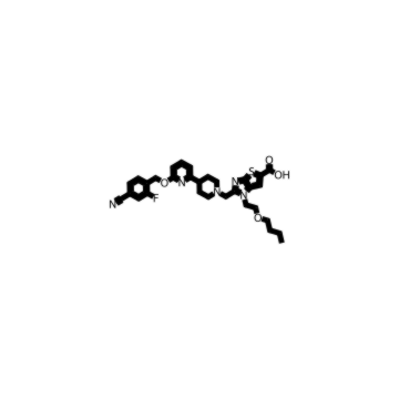 CCCCOCCn1c(CN2CCC(c3cccc(OCc4ccc(C#N)cc4F)n3)CC2)nc2sc(C(=O)O)cc21